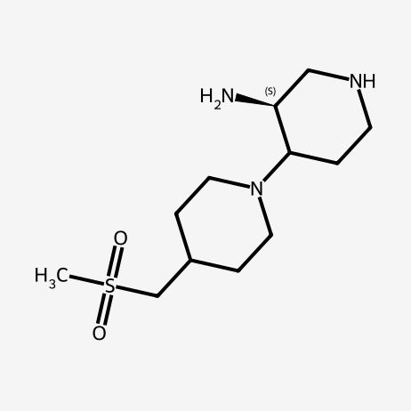 CS(=O)(=O)CC1CCN(C2CCNC[C@@H]2N)CC1